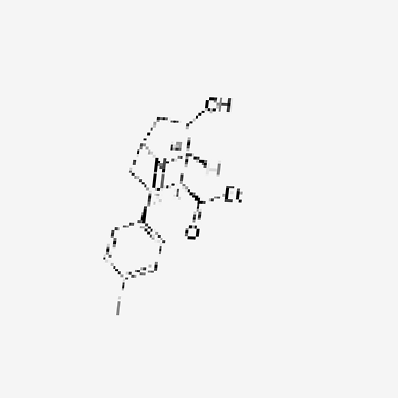 CCC(=O)[C@H]1[C@@H](c2ccc(I)cc2)CC2CC(O)[C@H]1N2